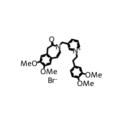 COc1ccc(CC[n+]2cccc(CN3C=Cc4cc(OC)c(OC)cc4CC3=O)c2)cc1OC.[Br-]